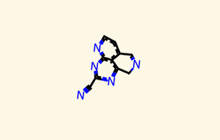 N#Cc1nc2c3c(ccnc3n1)C=NC2